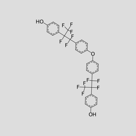 Oc1ccc(C(F)(C(F)(F)F)C(F)(F)c2ccc(Oc3ccc(C(F)(F)C(F)(c4ccc(O)cc4)C(F)(F)F)cc3)cc2)cc1